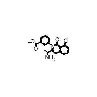 COC(=O)c1cccc(-n2c([C@H](C)N)cc3cccc(Cl)c3c2=O)c1